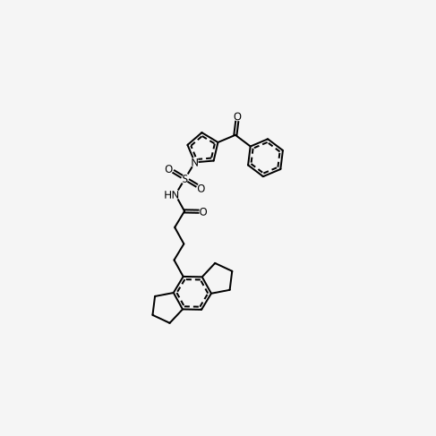 O=C(CCCc1c2c(cc3c1CCC3)CCC2)NS(=O)(=O)n1ccc(C(=O)c2ccccc2)c1